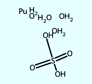 O.O.O.O.O=S(=O)(O)O.[Pu]